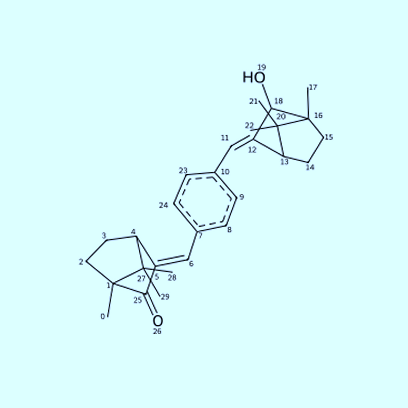 CC12CCC(/C(=C\c3ccc(/C=C4\C5CCC(C)(C4O)C5(C)C)cc3)C1=O)C2(C)C